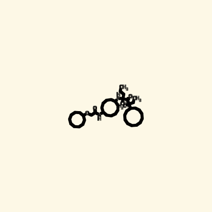 CCCC(C)(NC1CCCCCC(NC(=O)COC2CCCCCCCCC2)CCCC1)C(=O)C(C)(CC)C1CCCCCCCCCCC1